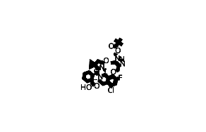 Cc1c(COc2c(F)cc(Cl)c3c2[C@@H](CN2CC4(CC4)CC2=O)N(C(=O)[C@@H]2CCCC[C@]2(C)C(=O)O)CC3)nnn1COC(=O)C(C)(C)C